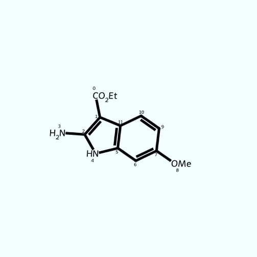 CCOC(=O)c1c(N)[nH]c2cc(OC)ccc12